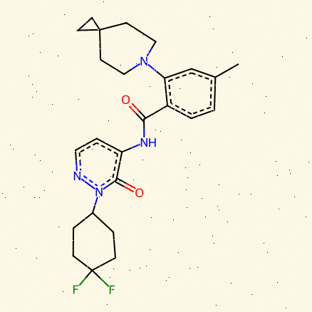 Cc1ccc(C(=O)Nc2ccnn(C3CCC(F)(F)CC3)c2=O)c(N2CCC3(CC2)CC3)c1